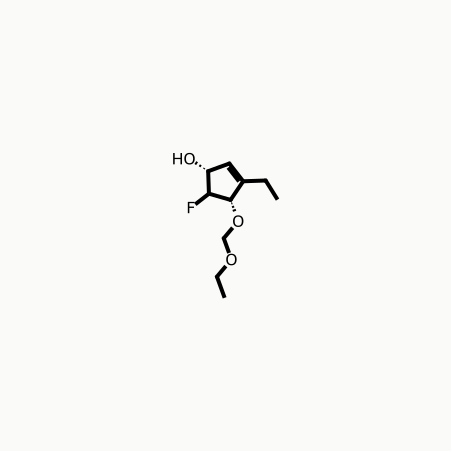 CCOCO[C@H]1C(CC)=C[C@@H](O)C1F